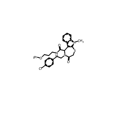 CC(C)OCCCNC(=O)C1c2c(n(C)c3ccccc23)SCC(=O)N1CCc1ccc(Cl)cc1